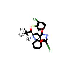 CC(C)(C)C(=O)[C@@H]1NC2(CCCCC2)[C@@]2(C(=O)Nc3cc(Cl)ccc32)[C@H]1c1cccc(Cl)c1F